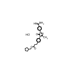 Cc1nn(-c2ccc(C(=N)N)cc2)c(=O)n1-c1ccc(CCC(=O)OCC2CCCC2)cc1.Cl